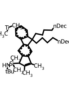 CCCCCCCCCCCCCCC1(CCCCCCCCCCCCCC)c2ccccc2-c2cc3c(cc21)C(C)=C(C)C3[Si](C)(C)NC(C)(C)C.[CH3][Ti][CH3]